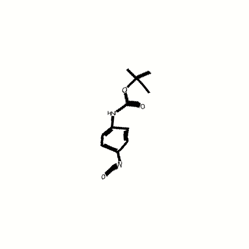 CC(C)(C)OC(=O)Nc1ccc(N=O)cc1